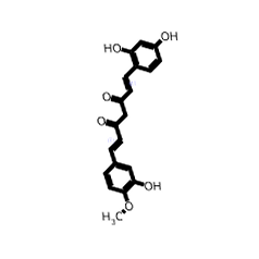 COc1ccc(/C=C/C(=O)CC(=O)/C=C/c2ccc(O)cc2O)cc1O